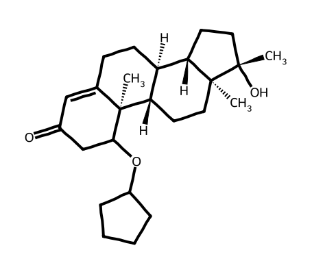 C[C@]1(O)CC[C@H]2[C@@H]3CCC4=CC(=O)CC(OC5CCCC5)[C@]4(C)[C@H]3CC[C@@]21C